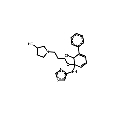 OC1CCN(CCCOC2(Nc3cscn3)C=CC=C(c3ccccc3)C2Cl)C1